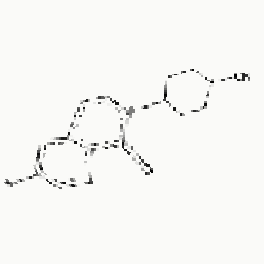 N#CB1CCC(n2ccc3cc(Br)ccc3c2=O)CC1